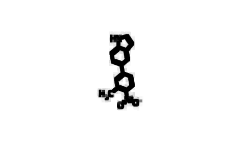 Cc1cc(-c2ccc3[nH]ccc3c2)ccc1[N+](=O)[O-]